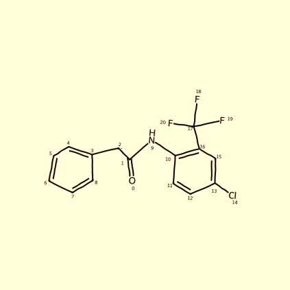 O=C([CH]c1ccccc1)Nc1ccc(Cl)cc1C(F)(F)F